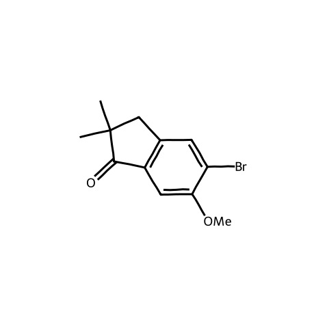 COc1cc2c(cc1Br)CC(C)(C)C2=O